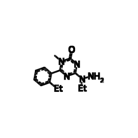 CCc1ccccc1-c1nc(N(N)CC)nc(=O)n1C